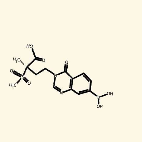 C[C@@](CCn1cnc2cc(B(O)O)ccc2c1=O)(C(=O)O)S(C)(=O)=O